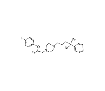 CCC(CN1CCN(CCCC(C#N)(c2ccccc2)C(C)C)CC1)Oc1ccc(F)cc1